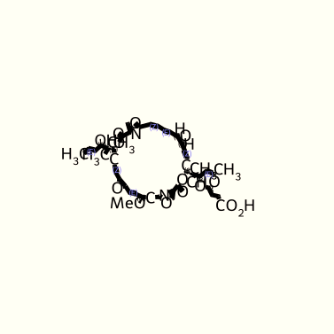 C/C=C/[C@H](OC(=O)CCC(=O)O)C(C)(C)[C@@H]1C/C=C\[C@H]2O[C@H]2/C=C/C=C\c2nc(co2)C(=O)O[C@H](C(C)(C)[C@@H](O)/C=C/C)C/C=C\C2OC2/C=C/[C@H](OC)Cc2nc(co2)C(=O)O1